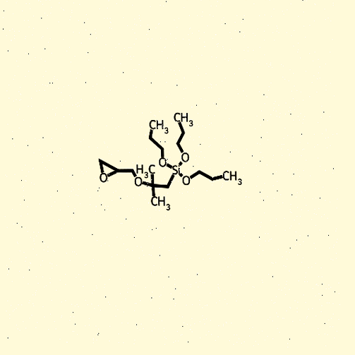 CCCO[Si](CC(C)(C)OCC1CO1)(OCCC)OCCC